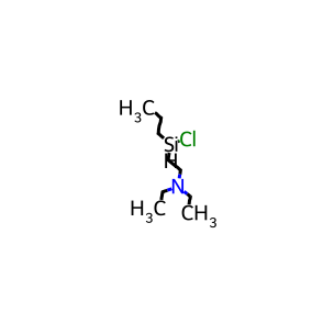 CCC[SiH](Cl)CCN(CC)CC